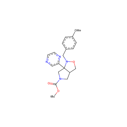 COc1ccc(CN2OCC3CN(C(=O)OC(C)(C)C)CC32c2cnccn2)cc1